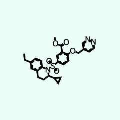 CCc1ccc2c(c1)CCC(C1CC1)N2S(=O)(=O)c1ccc(OCc2ccnnc2)c(C(=O)OC)c1